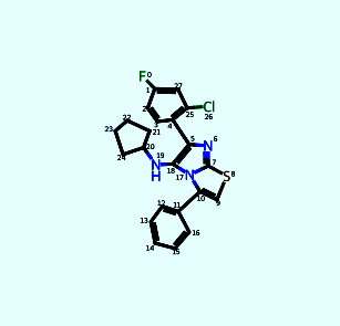 Fc1ccc(-c2nc3scc(-c4ccccc4)n3c2NC2CCCC2)c(Cl)c1